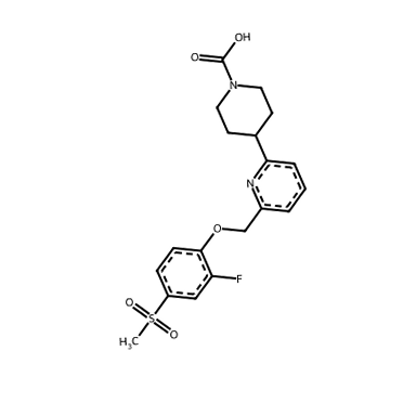 CS(=O)(=O)c1ccc(OCc2cccc(C3CCN(C(=O)O)CC3)n2)c(F)c1